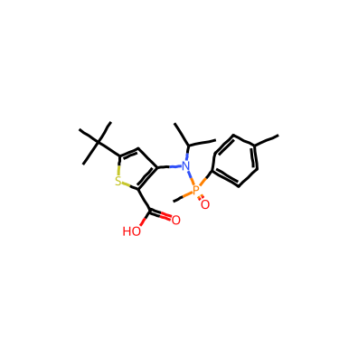 Cc1ccc(P(C)(=O)N(c2cc(C(C)(C)C)sc2C(=O)O)C(C)C)cc1